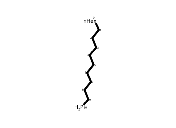 CCCCCCCCCCCCCCCP